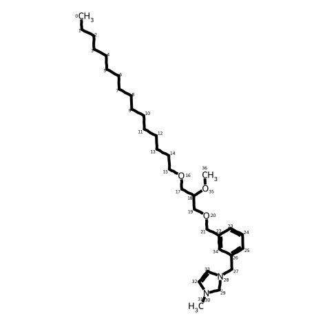 CCCCCCCCCCCCCCCCOCC(COCc1cccc(CN2[CH]N(C)C=C2)c1)OC